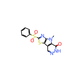 Cn1c2nc(S(=O)(=O)c3ccccc3)sc2c2cn[nH]c(=O)c21